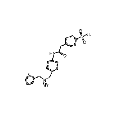 CCCN(Cc1ccc(NC(=O)Cc2ccc(S(=O)(=O)CC)cc2)cc1)Cc1cccs1